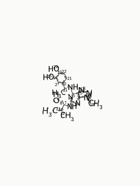 CC(Nc1nc(NC(CO)C(C)C)nc2c1nnn2C)c1ccc(O)c(O)c1